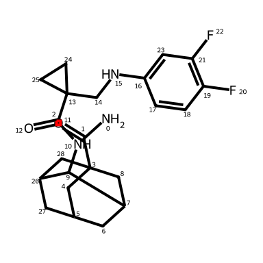 NC(=O)C12CC3CC(C1)C(NC(=O)C1(CNc4ccc(F)c(F)c4)CC1)C(C3)C2